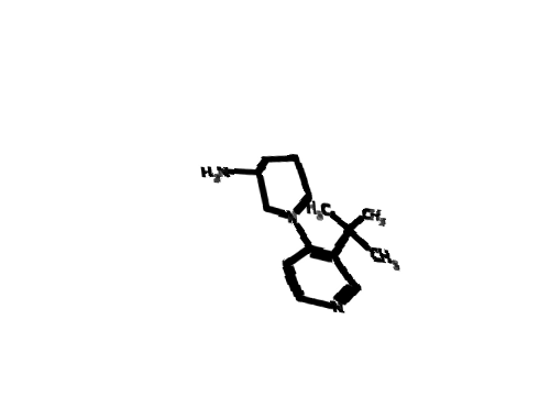 CC(C)(C)c1cnccc1N1CCCC(N)C1